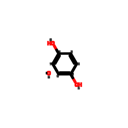 Oc1ccc(O)cc1.[O]